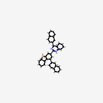 c1ccc2cc(-c3nc(-c4cc(-c5ccc6ccccc6c5)c5c(c4)sc4ccccc45)nc4ccccc34)ccc2c1